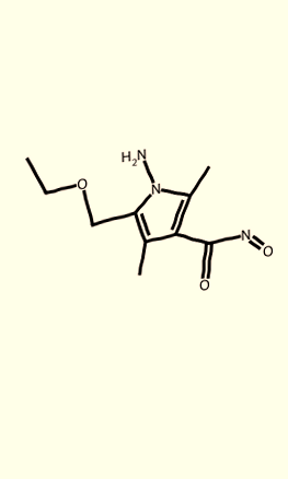 CCOCc1c(C)c(C(=O)N=O)c(C)n1N